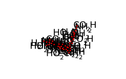 CC(=O)O.CC(C)C[C@H](N)C(=O)O.CC(C)[C@H](N)C(=O)O.CC[C@H](C)[C@H](N)C(=O)O.CSCC[C@H](N)C(=O)O.C[C@@H](O)[C@H](N)C(=O)O.N.N=C(N)N.N=C(N)NCCC[C@H](N)C(=O)O.NCCCC[C@H](N)C(=O)O.N[C@@H](Cc1c[nH]c2ccccc12)C(=O)O.N[C@@H](Cc1c[nH]cn1)C(=O)O.N[C@@H](Cc1ccccc1)C(=O)O.N[C@@H](Cc1ccccc1)C(=O)O